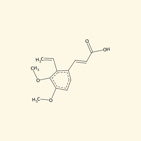 C=Cc1c(C=CC(=O)O)ccc(OC)c1OC